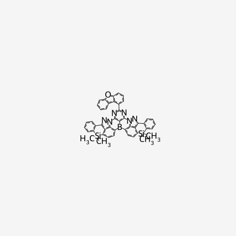 C[Si]1(C)c2ccccc2-c2nn3c4c(ccc1c24)B1c2c-3nc(-c3cccc4oc5ccccc5c34)nc2-n2nc3c4c(ccc1c42)[Si](C)(C)c1ccccc1-3